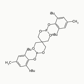 CCCCc1cc(C)cc(C(C)CC)c1OP1OCC2(CO1)COP(Oc1c(CCCC)cc(C)cc1C(C)CC)OC2